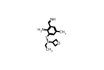 CCN(Sc1cc(C)cc(C=N)c1N)C1COC1